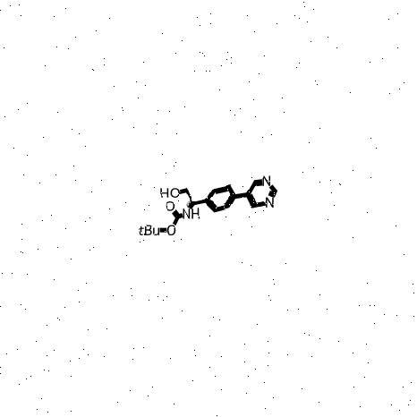 CC(C)(C)OC(=O)N[C@@H](CO)c1ccc(-c2cncnc2)cc1